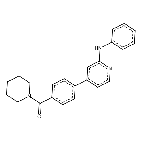 O=C(c1ccc(-c2ccnc(Nc3ccccc3)c2)cc1)N1CCCCC1